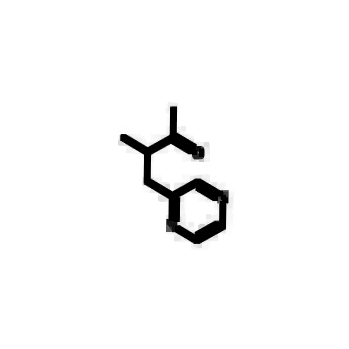 CC(=O)C(C)Cc1cnccn1